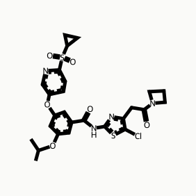 CC(C)Oc1cc(Oc2ccc(S(=O)(=O)C3CC3)nc2)cc(C(=O)Nc2nc(CC(=O)N3CCC3)c(Cl)s2)c1